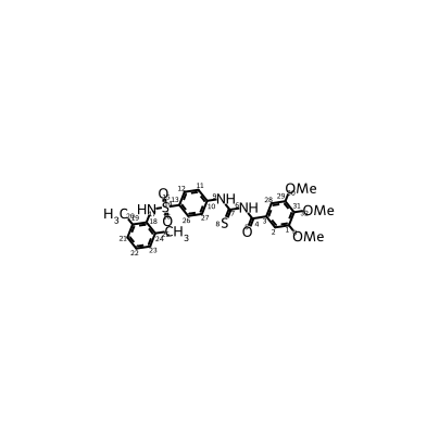 COc1cc(C(=O)NC(=S)Nc2ccc(S(=O)(=O)Nc3c(C)cccc3C)cc2)cc(OC)c1OC